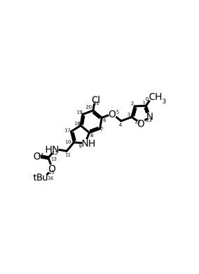 Cc1cc(COc2cc3[nH]c(CNC(=O)OC(C)(C)C)cc3cc2Cl)on1